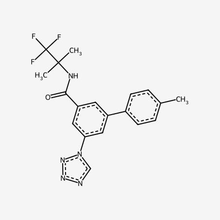 Cc1ccc(-c2cc(C(=O)NC(C)(C)C(F)(F)F)cc(-n3cnnn3)c2)cc1